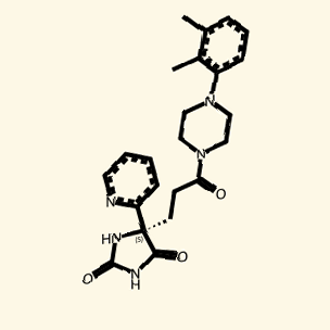 Cc1cccc(N2CCN(C(=O)CC[C@@]3(c4ccccn4)NC(=O)NC3=O)CC2)c1C